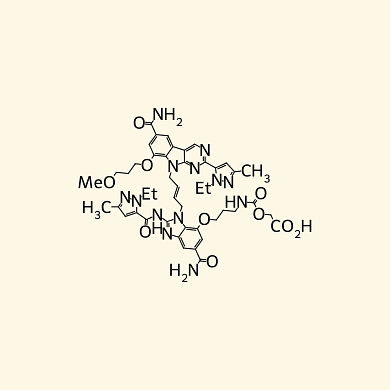 CCn1nc(C)cc1C(=O)Nc1nc2cc(C(N)=O)cc(OCCCNC(=O)OCC(=O)O)c2n1CC=CCn1c2nc(-c3cc(C)nn3CC)ncc2c2cc(C(N)=O)cc(OCCCOC)c21